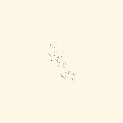 COCc1nc(C)c(-c2cccc(C)n2)c(O)c1C(=O)Nc1ccc(Oc2ccnc3cc(OC)c(OC)nc23)c(F)c1